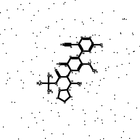 COc1cn(C(C(=O)OC(C)(C)C)C(O)C2CCCO2)c(=O)cc1-c1cc(Cl)ccc1C#N